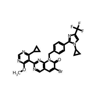 COc1ncnc(C2CC2)c1-c1ncc2cc(Br)c(=O)n(Cc3ccc(-c4nc(C(F)(F)F)cn4C4CC4)cc3)c2n1